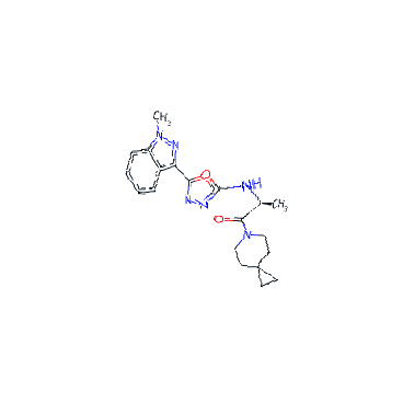 C[C@H](Nc1nnc(-c2nn(C)c3ccccc23)o1)C(=O)N1CCC2(CC1)CC2